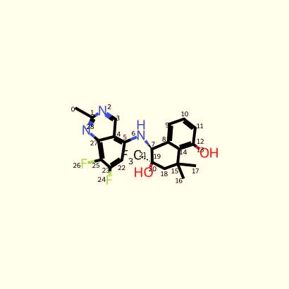 Cc1ncc2c(N[C@H]3c4cccc(O)c4C(C)(C)C[C@]3(O)C(F)(F)F)cc(F)c(F)c2n1